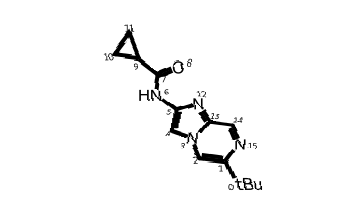 CC(C)(C)c1cn2cc(NC(=O)C3CC3)nc2cn1